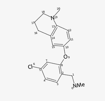 CNCc1ccc(Cl)cc1Oc1ccc2c(c1)CCCN2C